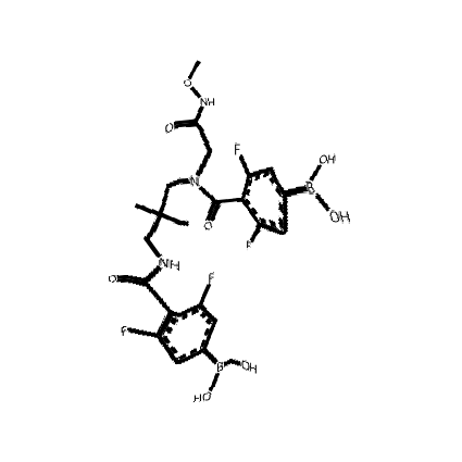 CONC(=O)CN(CC(C)(C)CNC(=O)c1c(F)cc(B(O)O)cc1F)C(=O)c1c(F)cc(B(O)O)cc1F